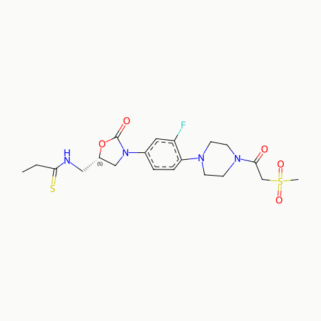 CCC(=S)NC[C@H]1CN(c2ccc(N3CCN(C(=O)CS(C)(=O)=O)CC3)c(F)c2)C(=O)O1